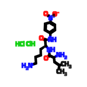 CC(C)C[C@H](N)C(=O)N[C@@H](CCCCN)C(=O)Nc1ccc([N+](=O)[O-])cc1.Cl.Cl